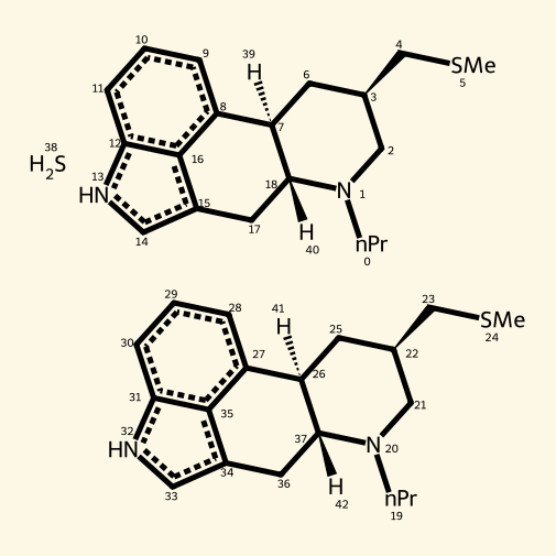 CCCN1C[C@H](CSC)C[C@@H]2c3cccc4[nH]cc(c34)C[C@H]21.CCCN1C[C@H](CSC)C[C@@H]2c3cccc4[nH]cc(c34)C[C@H]21.S